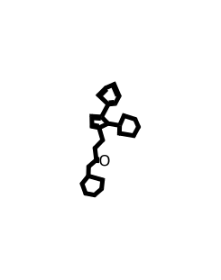 O=C(CCC1=CC=C(c2ccccc2)C1C1CCCCC1)CC1CCCCC1